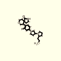 CCCC1CCCN1C1CCN(c2ccc(C3COCCC34CCNC4=O)c(F)c2)C1